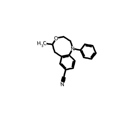 CC1Cc2cc(C#N)ccc2N(c2ccccc2)CCO1